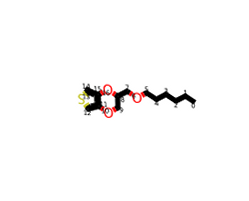 CCCCCCOCC1COc2cscc2O1